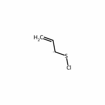 C=C[CH]SCl